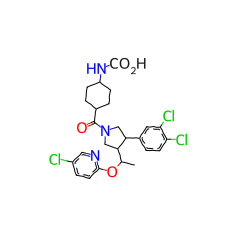 CC(Oc1ccc(Cl)cn1)C1CN(C(=O)C2CCC(NC(=O)O)CC2)CC1c1ccc(Cl)c(Cl)c1